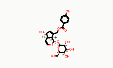 O=C(OCC1=C[C@@H](O)[C@@H]2C=CO[C@@H](O[C@@H]3O[C@H](CO)[C@@H](O)[C@H](O)[C@H]3O)[C@H]12)c1ccc(O)cc1